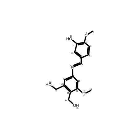 COc1ccc(/C=N/c2cc(CO)c(CO)c(OC)c2)cc1O